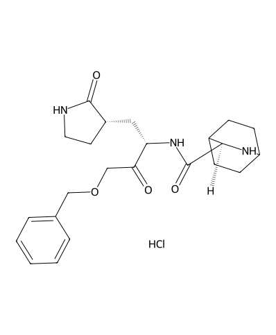 Cl.O=C1NCC[C@H]1C[C@H](NC(=O)[C@@H]1NC2CCC1CC2)C(=O)COCc1ccccc1